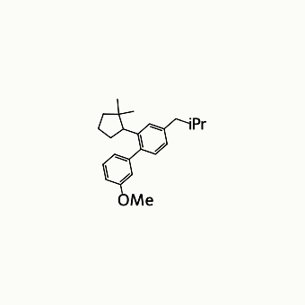 COc1cccc(-c2ccc(CC(C)C)cc2C2CCCC2(C)C)c1